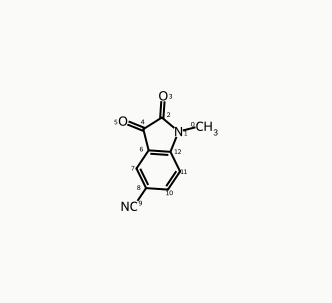 CN1C(=O)C(=O)c2cc(C#N)ccc21